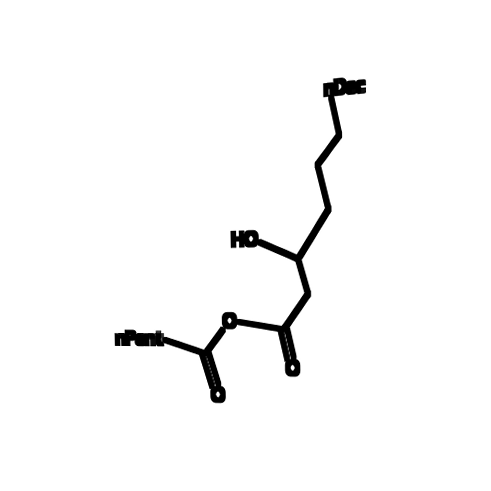 CCCCCCCCCCCCCC(O)CC(=O)OC(=O)CCCCC